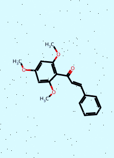 COc1cc(OC)c(C(=O)C=Cc2ccccc2)c(OC)c1